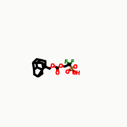 O=C(OCC12CC3CC4C5CC(CC41)CC2C5C3)OCC(F)(F)S(=O)(=O)O